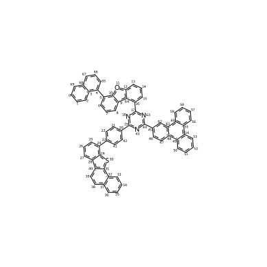 c1ccc2c(-c3cccc4c3oc3cccc(-c5nc(-c6ccc(-c7cccc8c7sc7c9ccccc9ccc87)cc6)nc(-c6ccc7c8ccccc8c8ccccc8c7c6)n5)c34)cccc2c1